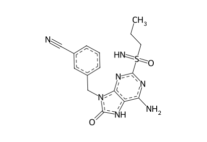 CCCS(=N)(=O)c1nc(N)c2[nH]c(=O)n(Cc3cccc(C#N)c3)c2n1